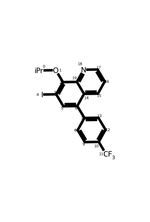 CC(C)Oc1c(I)cc(-c2ccc(C(F)(F)F)cc2)c2cccnc12